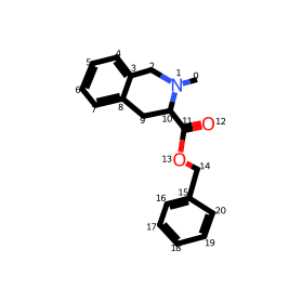 CN1Cc2ccccc2CC1C(=O)OCc1ccccc1